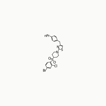 CCCc1ccc(Cc2csc(N3CCC(S(=O)(=O)c4ccc(Br)cc4Cl)CC3)n2)cc1